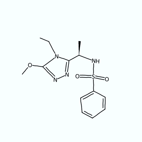 CCn1c(OC)nnc1[C@@H](C)NS(=O)(=O)c1ccccc1